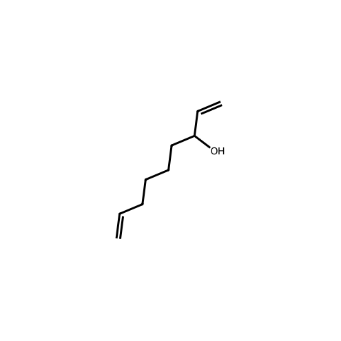 C=CCCCCC(O)C=C